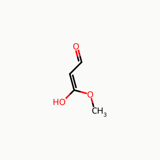 CO/C(O)=C\C=O